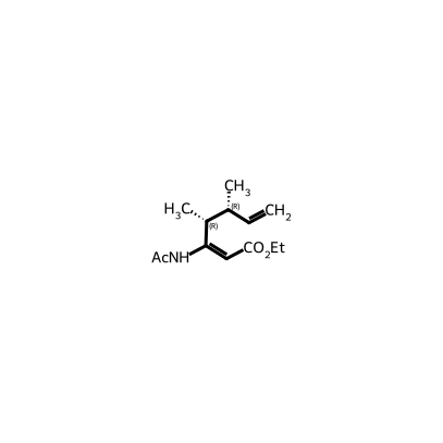 C=C[C@@H](C)[C@@H](C)C(=CC(=O)OCC)NC(C)=O